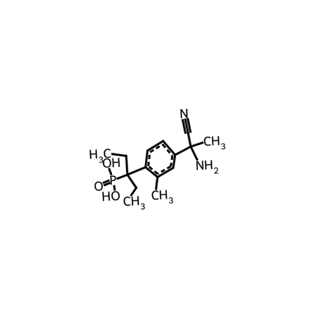 CCC(CC)(c1ccc(C(C)(N)C#N)cc1C)P(=O)(O)O